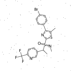 CN=S(=O)(c1nc(-c2ccc(Br)cc2)c(C)s1)C(C)c1ccc(C(F)(F)F)nc1